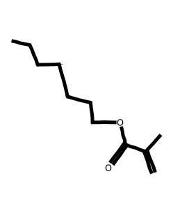 C=C(C)C(=O)OCCC[CH]CCC